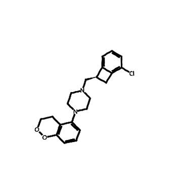 Clc1cccc2c1C[C@H]2CN1CCN(c2cccc3c2CCOO3)CC1